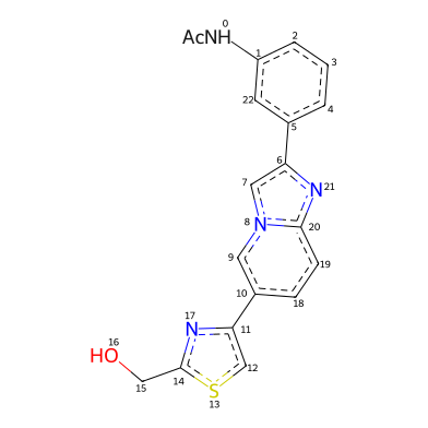 CC(=O)Nc1cccc(-c2cn3cc(-c4csc(CO)n4)ccc3n2)c1